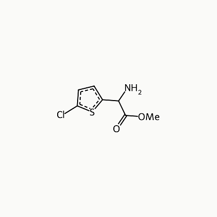 COC(=O)C(N)c1ccc(Cl)s1